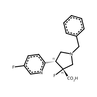 O=C(O)[C@]1(F)CN(Cc2ccccc2)C[C@H]1c1ccc(F)cn1